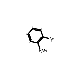 CNc1ccc[c]c1C(C)=O